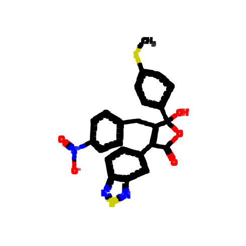 CSc1ccc(C2(O)OC(=O)C(c3ccc4nsnc4c3)=C2Cc2ccc([N+](=O)[O-])cc2)cc1